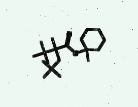 CC(C)(C)CC(C)(C(=O)OC1(C)CCCCC1)C(C)(C)C